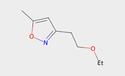 CCOCCc1cc(C)on1